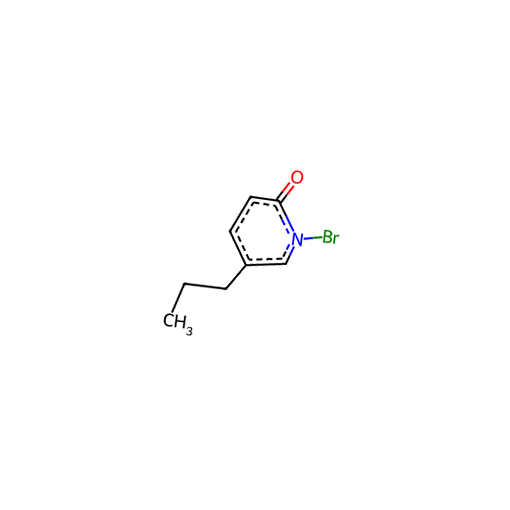 CCCc1ccc(=O)n(Br)c1